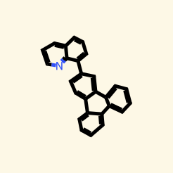 c1cnc2c(-c3ccc4c5ccccc5c5ccccc5c4c3)cccc2c1